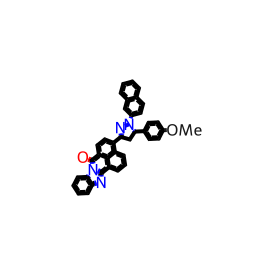 COc1ccc(C2CC(c3ccc4c(=O)n5c6ccccc6nc5c5cccc3c45)=NN2c2ccc3ccccc3c2)cc1